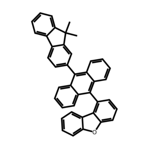 CC1(C)c2ccccc2-c2ccc(-c3c4ccccc4c(-c4cccc5oc6ccccc6c45)c4ccccc34)cc21